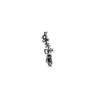 O=C(NC1CC2(C1)CC(c1nc3cc(Cl)ccc3o1)C2)c1ccc(S2(=O)=NCCCC2)o1